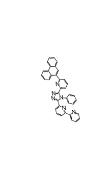 c1ccc(-n2c(-c3cccc(-c4ccccn4)n3)nnc2-c2cccc(-c3cc4ccccc4c4ccccc34)n2)cc1